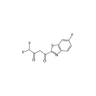 O=C(CC(=O)C(F)F)c1nc2ccc(F)cc2s1